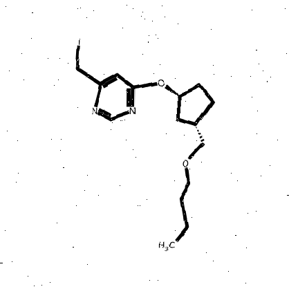 CCCCOC[C@H]1CC[C@H](Oc2cc(CI)ncn2)C1